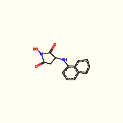 O=C1CC(Nc2cccc3ccccc23)C(=O)[N+]1O